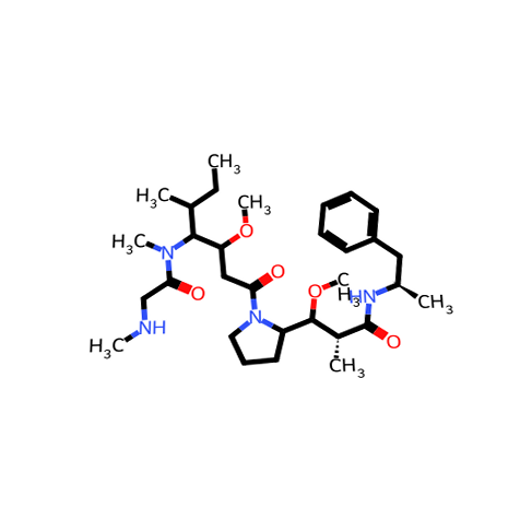 CCC(C)C(C(CC(=O)N1CCCC1C(OC)[C@@H](C)C(=O)N[C@H](C)Cc1ccccc1)OC)N(C)C(=O)CNC